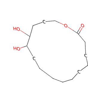 O=C1CCCCCCCCCC(O)C(O)CCCO1